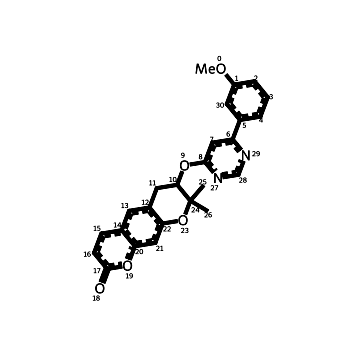 COc1cccc(-c2cc(OC3Cc4cc5ccc(=O)oc5cc4OC3(C)C)ncn2)c1